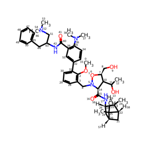 COc1c(CN2O[C@@H](CO)C(C(C)O)[C@H]2C(=O)N[C@H]2C[C@H]3C[C@@H]([C@@H]2C)C3(C)C)cccc1-c1ccc(N(C)C)c(C(=O)NC(Cc2ccccc2)CN(C)C)c1